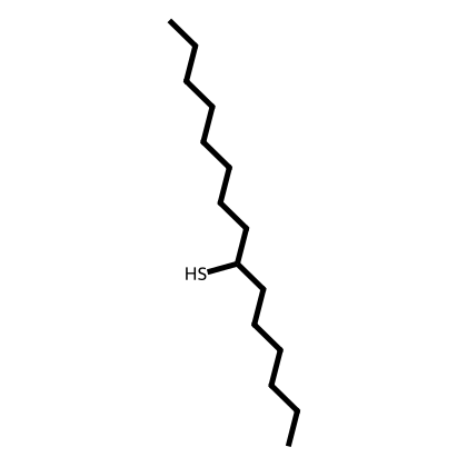 CCCCCCCCC(S)CCCCCC